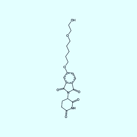 O=C1CCC(N2C(=O)c3ccc(OCCCCCOCCO)cc3C2=O)C(=O)N1